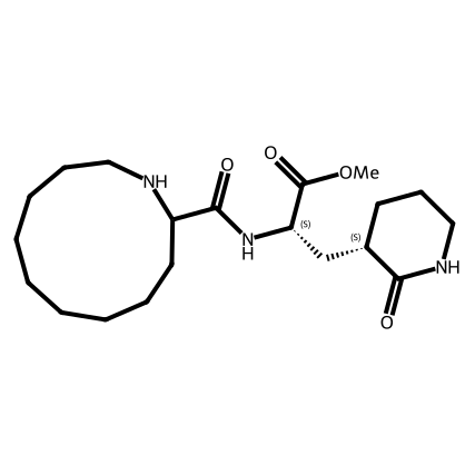 COC(=O)[C@H](C[C@@H]1CCCNC1=O)NC(=O)C1CCCCCCCCCN1